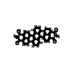 CN1C(=O)c2cccc3c(-c4c5ccccc5c(-c5ccc6c7c(cccc57)C(=O)N(C)C6=O)c5ccccc45)ccc(c23)C1=O